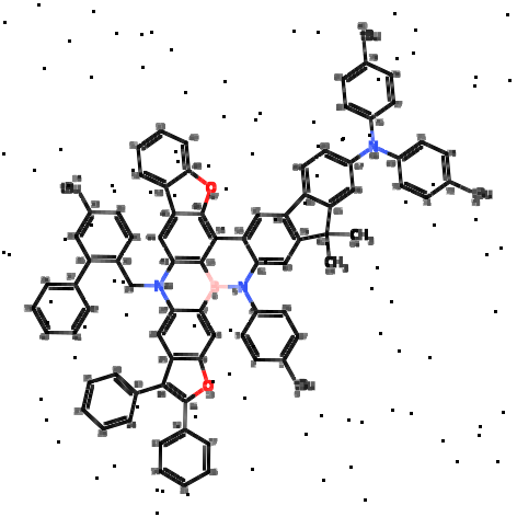 CC(C)(C)c1ccc(N2B3c4cc5oc(-c6ccccc6)c(-c6ccccc6)c5cc4N(Cc4ccc(C(C)(C)C)cc4-c4ccccc4)c4cc5c(oc6ccccc65)c(c43)-c3cc4c(cc32)C(C)(C)c2cc(N(c3ccc(C(C)(C)C)cc3)c3ccc(C(C)(C)C)cc3)ccc2-4)cc1